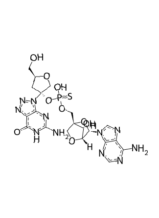 Nc1nc2c(nnn2[C@]2(OP(O)(=S)OC[C@@]34CO[C@@H]([C@H](n5cnc6c(N)ncnc65)O3)[C@@H]4O)CO[C@H](CO)C2)c(=O)[nH]1